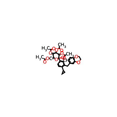 COC1(c2ccc(C3CC3)c(Cc3ccc4c(c3)OCCO4)c2)O[C@H](COC(C)=O)[C@@H](OC(C)=O)[C@H](OC(C)=O)[C@H]1OC(C)=O